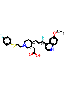 COc1ccc2nccc([C@H](F)CC[C@@H]3CCN(CCSc4ccc(F)cc4)C[C@@H]3CC(=O)O)c2c1